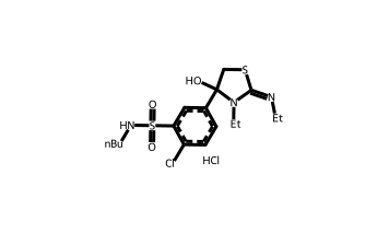 CCCCNS(=O)(=O)c1cc(C2(O)CSC(=NCC)N2CC)ccc1Cl.Cl